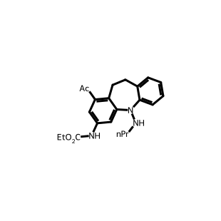 CCCNN1c2ccccc2CCc2c(C(C)=O)cc(NC(=O)OCC)cc21